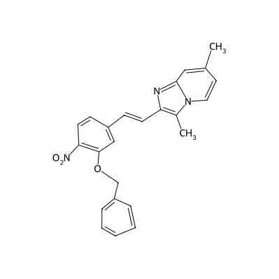 Cc1ccn2c(C)c(C=Cc3ccc([N+](=O)[O-])c(OCc4ccccc4)c3)nc2c1